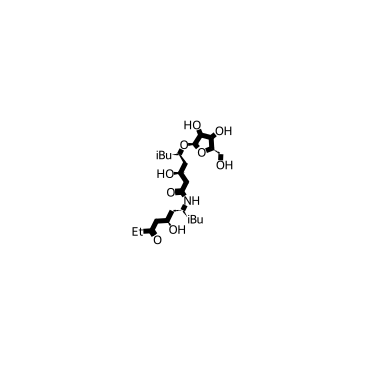 CCC(=O)C[C@@H](O)C[C@H](NC(=O)C[C@@H](O)C[C@H](O[C@@H]1O[C@@H](CO)C(O)C1O)[C@@H](C)CC)[C@@H](C)CC